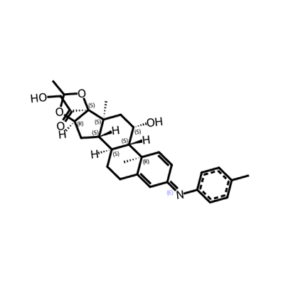 Cc1ccc(/N=C2\C=C[C@@]3(C)C(=C2)CC[C@@H]2[C@@H]3[C@@H](O)C[C@@]3(C)[C@H]2C[C@H]2OC(C)O[C@]23C(=O)CO)cc1